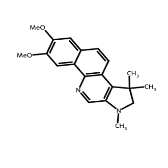 COc1cc2ccc3c4c(cnc3c2cc1OC)N(C)CC4(C)C